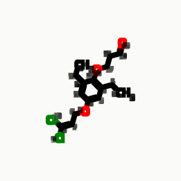 CCc1cc(OCC=C(Cl)Cl)cc(CC)c1OCCC=O